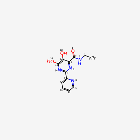 CC(C)CNC(=O)c1nc(-c2ccccn2)nc(O)c1O